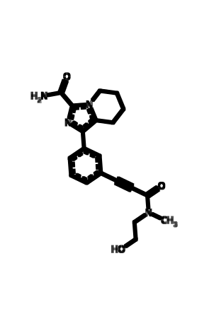 CN(CCO)C(=O)C#Cc1cccc(-c2nc(C(N)=O)n3c2CCCC3)c1